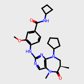 COc1cc(C(=O)NC2CCC2)ccc1Nc1ncc2c(n1)N(C1CCCC1)C[C@@H](C)C(=O)N2C